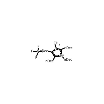 CCCCCCCCCCc1c(CCCCCCCCCC)[n+](CCCCCCCCCC)c(CCCCCCCCCC)n1C.F[B-](F)(F)F